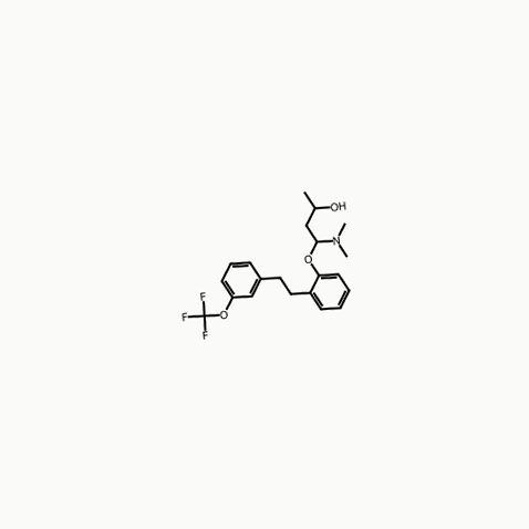 CC(O)CC(Oc1ccccc1CCc1cccc(OC(F)(F)F)c1)N(C)C